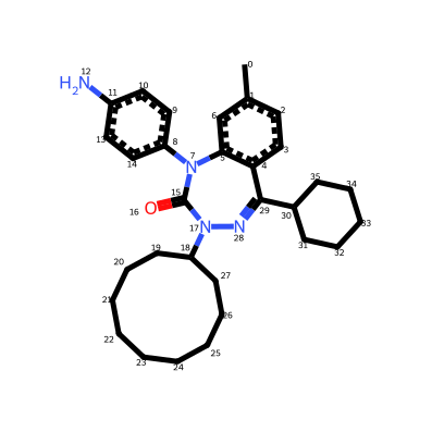 Cc1ccc2c(c1)N(c1ccc(N)cc1)C(=O)N(C1CCCCCCCCC1)N=C2C1CCCCC1